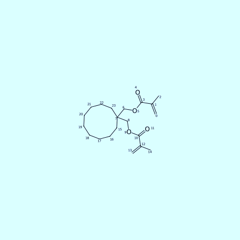 C=C(C)C(=O)OCC1(COC(=O)C(=C)C)CCCCCCCCC1